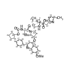 C=C[C@@H]1C[C@]1(NC(=O)[C@@H]1C[C@@H](Oc2cc(-c3ccccc3)nc3cc(OC)ccc23)CN1C(=O)C(NC(=O)OC1CCCC1)C(C)(C)C)P(=O)(O)Cc1nc(C)cs1